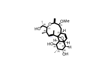 C=C1O[C@H]([C@@H](C)O)[C@H](C)/C=C(\C)[C@@]23O[C@H]4[C@H](O)[C@H](C)[C@@H](O)[C@@H]2[C@H]4C=C[C@@H]3C[C@@H]1OC